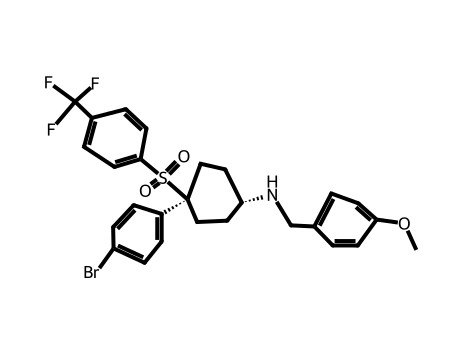 COc1ccc(CN[C@H]2CC[C@](c3ccc(Br)cc3)(S(=O)(=O)c3ccc(C(F)(F)F)cc3)CC2)cc1